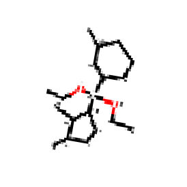 CCO[Si](OCC)(C1CCCC(C)C1)C1CCC(C)C1C